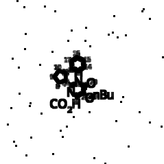 CCCCOc1c(C(=O)O)nc([C@@H]2CCC[C@@H]2c2ccccc2)[nH]c1=O